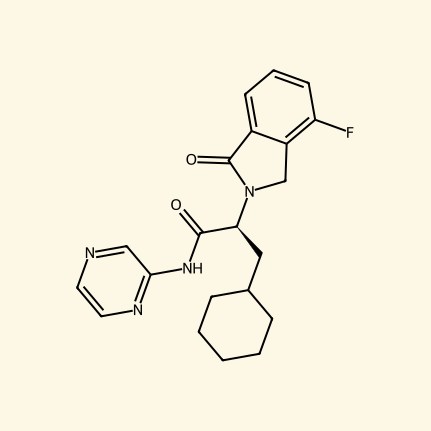 O=C(Nc1cnccn1)[C@H](CC1CCCCC1)N1Cc2c(F)cccc2C1=O